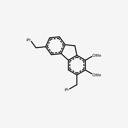 COc1c(CC(C)C)cc2c(c1OC)Cc1ccc(CC(C)C)cc1-2